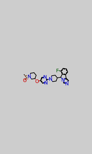 C[S+]([O-])N1CCCC(Oc2cnc(N3CCC(C4c5c(F)cccc5-c5cncn54)CC3)nc2)C1